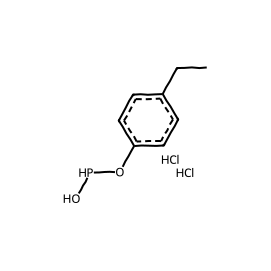 CCc1ccc(OPO)cc1.Cl.Cl